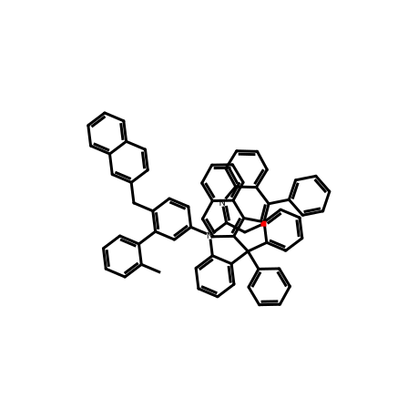 Cc1ccccc1-c1cc(N(C2=Nc3ccccc3C(c3ccccc3)=CC2)c2ccccc2C2(c3ccccc3)c3ccccc3-c3c2ccc2ccccc32)ccc1Cc1ccc2ccccc2c1